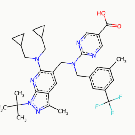 Cc1cc(CN(Cc2cc3c(C)nn(C(C)(C)C)c3nc2N(CC2CC2)CC2CC2)c2ncc(C(=O)O)cn2)cc(C(F)(F)F)c1